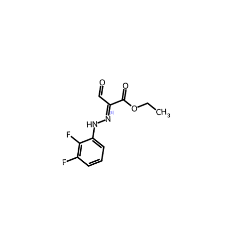 CCOC(=O)/C(C=O)=N/Nc1cccc(F)c1F